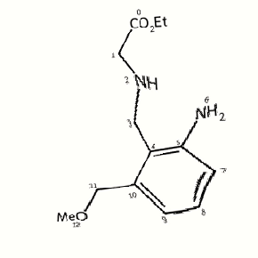 CCOC(=O)CNCc1c(N)cccc1COC